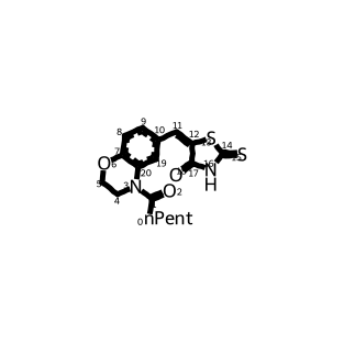 CCCCCC(=O)N1CCOc2ccc(C=C3SC(=S)NC3=O)cc21